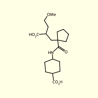 COCCC(CC1(C(=O)NC2CCC(C(=O)O)CC2)CCCC1)C(=O)O